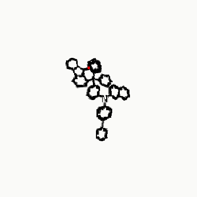 C1=CCC2C(=C1)c1cccc3c1C2(c1ccccc1)c1ccccc1C3(c1ccccc1)c1cccc(N(c2ccc(-c3ccccc3)cc2)c2ccc3ccccc3c2)c1